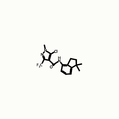 Cn1nc(C(F)(F)F)c(C(=O)Nc2cccc3c2CCC3(C)C)c1Cl